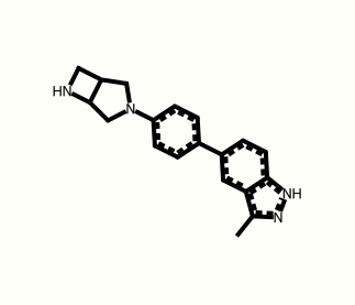 Cc1n[nH]c2ccc(-c3ccc(N4CC5CNC5C4)cc3)cc12